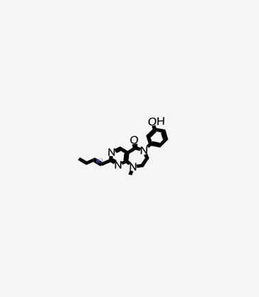 CC/C=C/c1ncc2c(n1)N(C)CCN(c1cccc(O)c1)C2=O